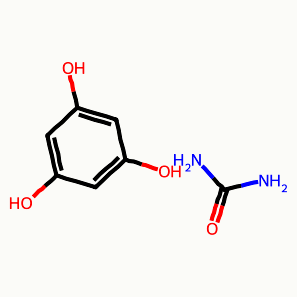 NC(N)=O.Oc1cc(O)cc(O)c1